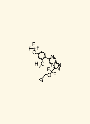 Cc1cc(OC(F)(F)F)ccc1-c1cn2c(C(F)(F)OCC3CC3)nnc2cn1